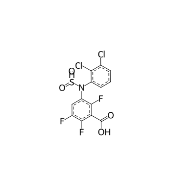 O=C(O)c1c(F)c(F)cc(N(c2cccc(Cl)c2Cl)[SH](=O)=O)c1F